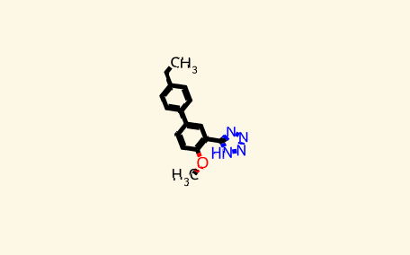 CCc1ccc(-c2ccc(OC)c(-c3nnn[nH]3)c2)cc1